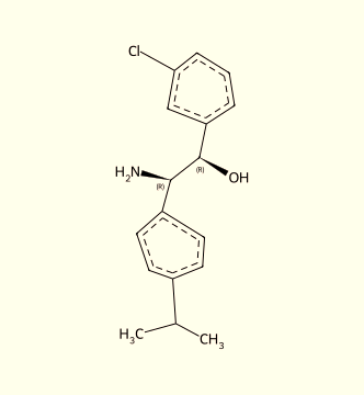 CC(C)c1ccc([C@@H](N)[C@H](O)c2cccc(Cl)c2)cc1